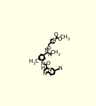 C=N/C(=N\OCC1CN(C(=O)OC)C1)c1ccc(C)c(NC(=O)c2cnc3ccc(C#N)cn23)c1